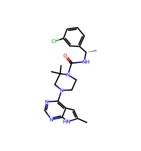 Cc1cc2c(N3CCN(C(=O)N[C@@H](C)c4cccc(Cl)c4)C(C)(C)C3)ncnc2[nH]1